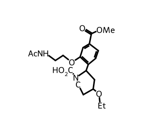 CCOC1CCN(C(=O)O)C(c2ccc(C(=O)OC)cc2OCCNC(C)=O)C1